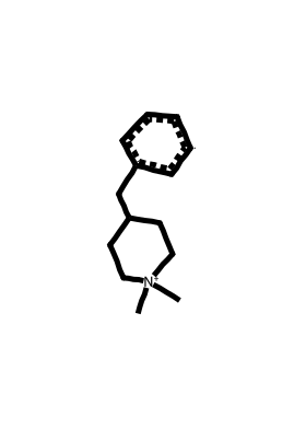 C[N+]1(C)CCC(Cc2c[c]ccc2)CC1